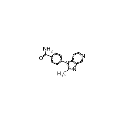 Cc1nc2cnccc2n1-c1ccc(C(N)=O)cc1